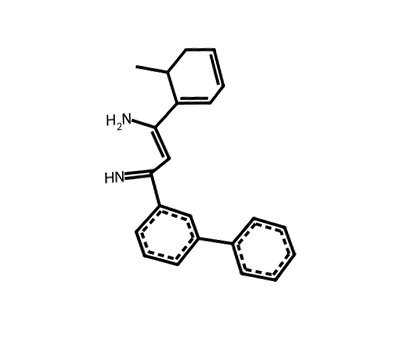 CC1CC=CC=C1/C(N)=C/C(=N)c1cccc(-c2ccccc2)c1